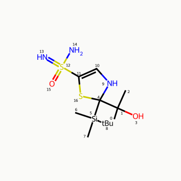 CC(C)(O)C1([Si](C)(C)C(C)(C)C)NC=C(S(=N)(N)=O)S1